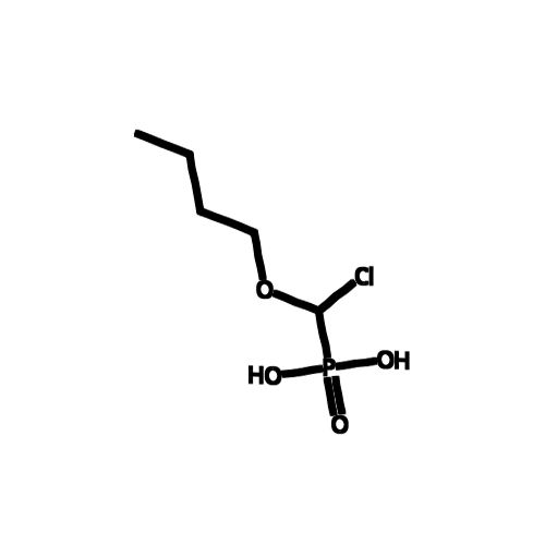 CCCCOC(Cl)P(=O)(O)O